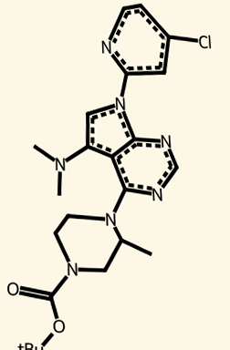 CC1CN(C(=O)OC(C)(C)C)CCN1c1ncnc2c1c(N(C)C)cn2-c1cc(Cl)ccn1